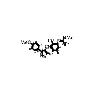 CNC(=Nc1cc(C)c(Oc2snc(-c3ccc(OC)cc3)c2C#N)cc1Cl)C(C)C